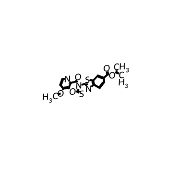 COc1ccnc2c(=O)n(-c3nc4ccc(C(=O)OC(C)C)cc4s3)c(=S)oc12